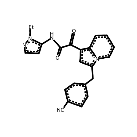 CCn1nccc1NC(=O)C(=O)c1cc(Cc2ccc(C#N)cc2)n2ccccc12